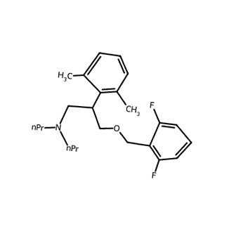 CCCN(CCC)CC(COCc1c(F)cccc1F)c1c(C)cccc1C